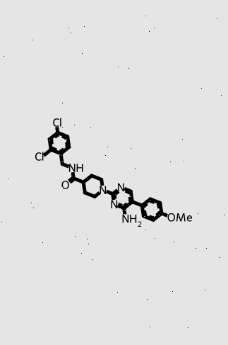 COc1ccc(-c2cnc(N3CCC(C(=O)NCc4ccc(Cl)cc4Cl)CC3)nc2N)cc1